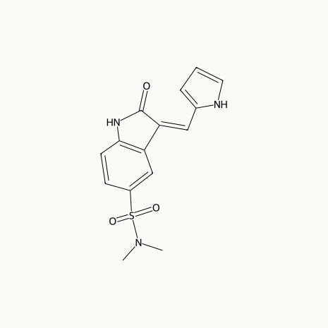 CN(C)S(=O)(=O)c1ccc2c(c1)/C(=C/c1ccc[nH]1)C(=O)N2